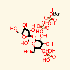 O=S(=O)(O)O.O=S(=O)(O)O.O=S(=O)(O)O.OC[C@H]1O[C@@](CO)(O[C@H]2O[C@H](CO)[C@@H](O)[C@H](O)[C@H]2O)[C@@H](O)[C@@H]1O.[Ba]